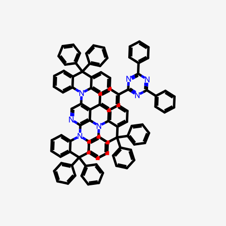 c1ccc(-c2nc(-c3ccccc3)nc(-c3ccc(-c4c(N5c6ccccc6C(c6ccccc6)(c6ccccc6)c6ccccc65)cnc(N5c6ccccc6C(c6ccccc6)(c6ccccc6)c6ccccc65)c4N4c5ccccc5C(c5ccccc5)(c5ccccc5)c5ccccc54)cc3)n2)cc1